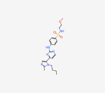 CCCCn1c(-c2ccnc(Nc3ccc(S(=O)(=O)NCCOC)cc3)n2)cnc1C